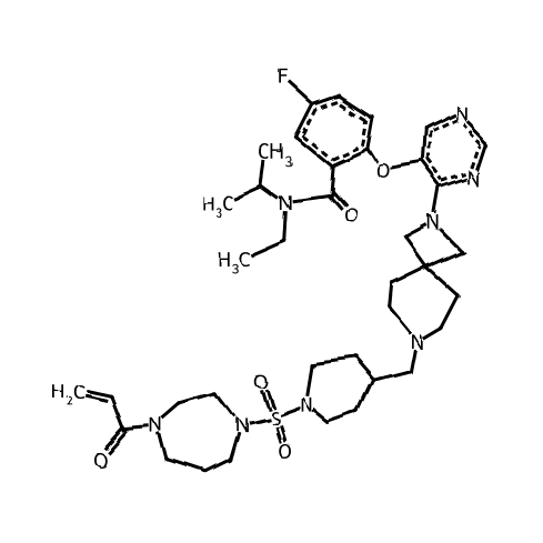 C=CC(=O)N1CCCN(S(=O)(=O)N2CCC(CN3CCC4(CC3)CN(c3ncncc3Oc3ccc(F)cc3C(=O)N(CC)C(C)C)C4)CC2)CC1